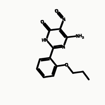 CCCOc1ccccc1-c1nc(N)c(N=O)c(=O)[nH]1